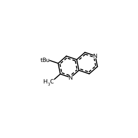 Cc1nc2ccncc2cc1C(C)(C)C